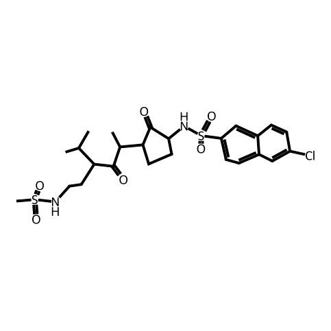 CC(C)C(CCNS(C)(=O)=O)C(=O)C(C)C1CCC(NS(=O)(=O)c2ccc3cc(Cl)ccc3c2)C1=O